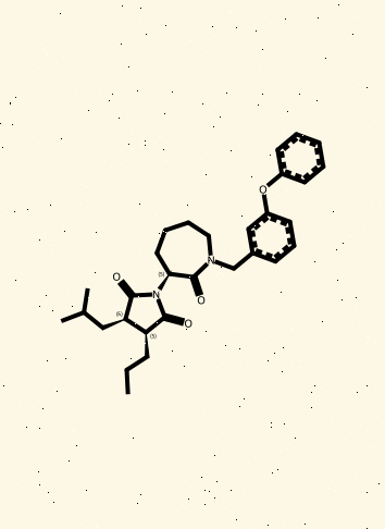 CCC[C@@H]1C(=O)N([C@H]2CCCCN(Cc3cccc(Oc4ccccc4)c3)C2=O)C(=O)[C@@H]1CC(C)C